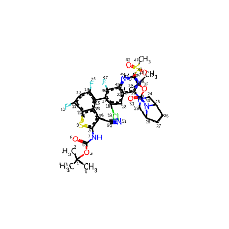 CC(C)(C)OC(=O)Nc1sc2c(F)cc(F)c(-c3c(Cl)cc4c(N5CC6CCC(C5)N6C(=O)OC(C)(C)C)nc(S(C)(=O)=O)nc4c3F)c2c1C#N